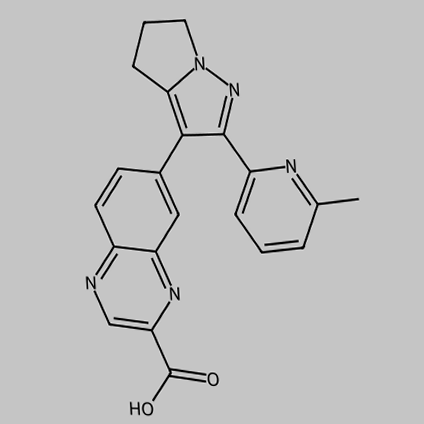 Cc1cccc(-c2nn3c(c2-c2ccc4ncc(C(=O)O)nc4c2)CCC3)n1